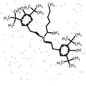 CCCCCC(N)N(C=CCc1cc(C(C)(C)C)c(O)c(C(C)(C)C)c1)C=CCc1cc(C(C)(C)C)c(O)c(C(C)(C)C)c1